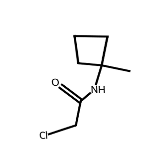 CC1(NC(=O)CCl)CCC1